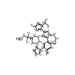 Cc1nc(-c2cn3c(n2)-c2cc(-c4ccnn4[C@H]4CCCN(C(C)(C)CO)C4)c(F)cc2OCC3)n(C(C)C)n1